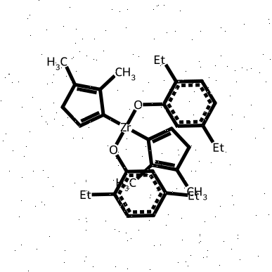 CCc1ccc(CC)c([O][Zr]([O]c2cc(CC)ccc2CC)([C]2=CCC(C)=C2C)[C]2=CCC(C)=C2C)c1